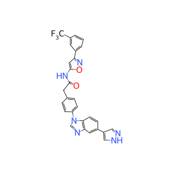 O=C(Cc1ccc(-n2cnc3cc(-c4cn[nH]c4)ccc32)cc1)Nc1cc(-c2cccc(C(F)(F)F)c2)no1